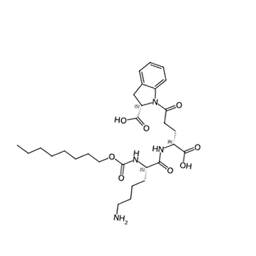 CCCCCCCCOC(=O)N[C@@H](CCCCN)C(=O)N[C@H](CCC(=O)N1c2ccccc2C[C@H]1C(=O)O)C(=O)O